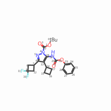 CC(C)(C)OC(=O)n1nc(C2CC(F)(F)C2)c(C2CCC2)c1NC(=O)Oc1ccccc1